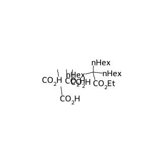 CC(=O)O.CC(=O)O.CC(=O)O.CC(=O)O.CCCCCCC(CCCCCC)(CCCCCC)C(=O)OCC